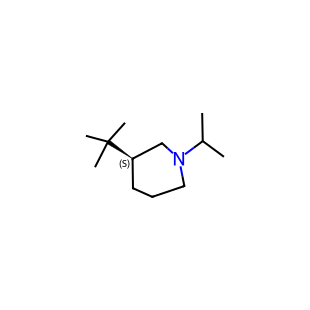 CC(C)N1CCC[C@@H](C(C)(C)C)C1